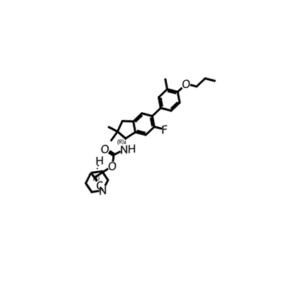 CCCOc1ccc(-c2cc3c(cc2F)[C@H](NC(=O)O[C@H]2CN4CCC2CC4)C(C)(C)C3)cc1C